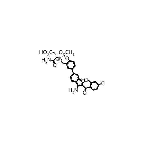 CS(=O)(=O)N(Cc1cccc(-c2ccc3c(N)c(C(=O)c4ccc(Cl)cc4Cl)oc3c2)c1)[C@@H](CC(=O)O)C(N)=O